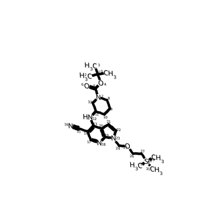 CC(C)(C)OC(=O)N1CCCC(Nc2c(C#N)cnc3c2ccn3COCC[Si](C)(C)C)C1